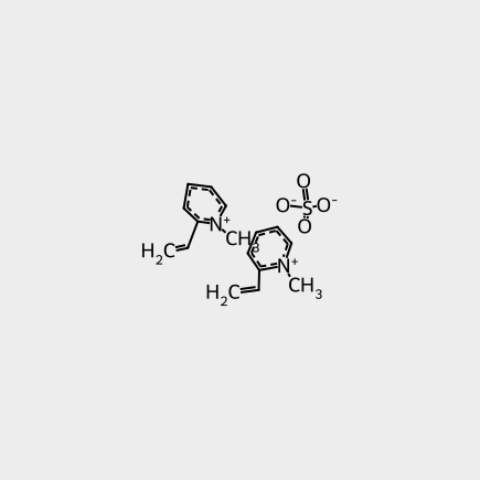 C=Cc1cccc[n+]1C.C=Cc1cccc[n+]1C.O=S(=O)([O-])[O-]